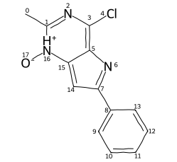 CC1=NC(Cl)=C2N=C(c3ccccc3)C=C2[NH+]1[O-]